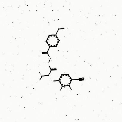 Cc1c(N[C@@H](C(=O)NNC(=O)c2ccc(CF)cc2)[C@H](C)O)ccc(C#N)c1Cl